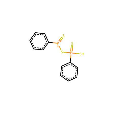 S=[PH](SP(=S)(S)c1ccccc1)c1ccccc1